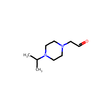 CC(C)N1CCN(CC=O)CC1